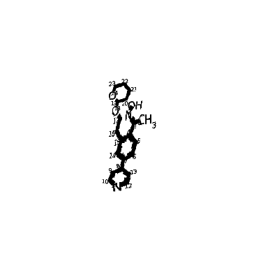 CC(=NO)c1ccc(-c2ccncc2)cc1CCOC1CCCCO1